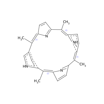 C/C1=C2\C=CC(=N2)/C(C)=c2/cc/c([nH]2)=C(\C)C2=N/C(=C(/C)c3cc1c[nH]3)C=C2